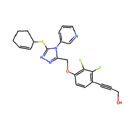 OCC#Cc1ccc(OCc2nnc(SC3C=CCCC3)n2-c2cccnc2)c(F)c1F